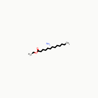 CCCCCCCCCCCCC(=O)OCC.N